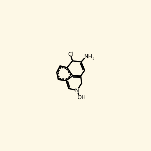 NC1=CC2=c3c(cccc3=CN(O)C2)C1Cl